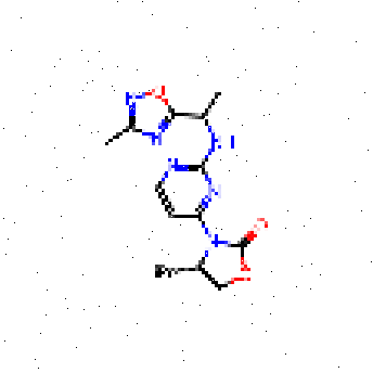 Cc1noc(C(C)Nc2nccc(N3C(=O)OCC3C(C)C)n2)n1